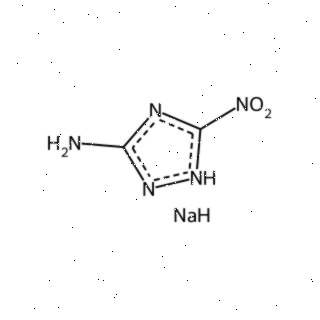 Nc1n[nH]c([N+](=O)[O-])n1.[NaH]